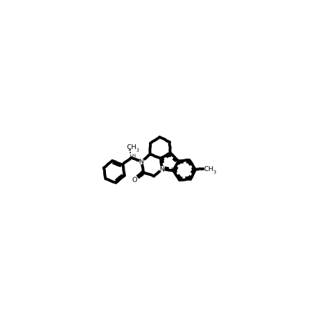 Cc1ccc2c(c1)c1c3n2CC(=O)N([C@@H](C)C2=CCCC=C2)C3CCC1